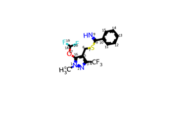 Cn1nc(C(F)(F)F)c(CSC(=N)c2ccccc2)c1OC(F)F